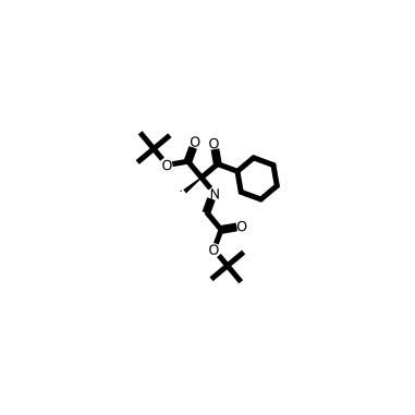 [CH2][C@@](N=CC(=O)OC(C)(C)C)(C(=O)OC(C)(C)C)C(=O)C1CCCCC1